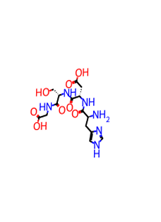 N[C@@H](Cc1c[nH]cn1)C(=O)N[C@@H](CC(=O)O)C(=O)N[C@@H](CO)C(=O)NCC(=O)O